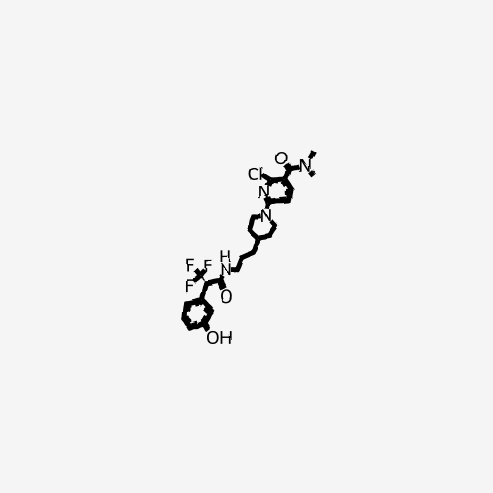 CN(C)C(=O)c1ccc(N2CCC(CCCNC(=O)[C@H](c3cccc(O)c3)C(F)(F)F)CC2)nc1Cl